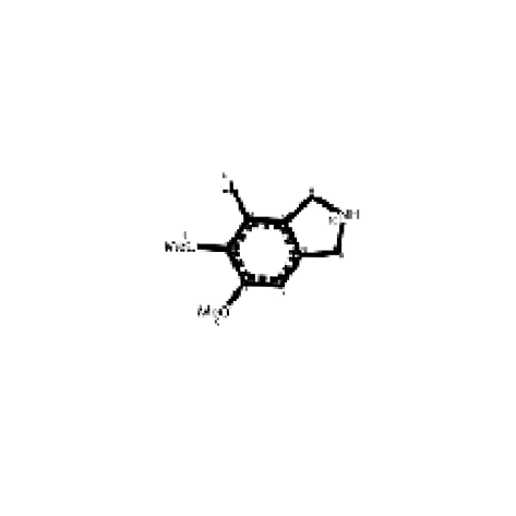 COc1cc2c(c(Cl)c1OC)CNC2